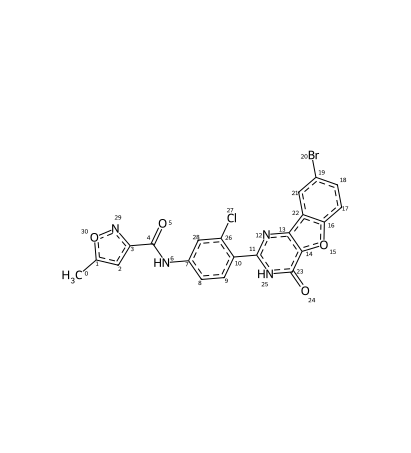 Cc1cc(C(=O)Nc2ccc(-c3nc4c(oc5ccc(Br)cc54)c(=O)[nH]3)c(Cl)c2)no1